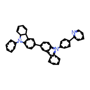 C1=CC2c3cc(-c4ccc5c(c4)c4ccccc4n5-c4ccc(-c5ccccn5)cc4)ccc3N(c3ccccc3)C2C=C1